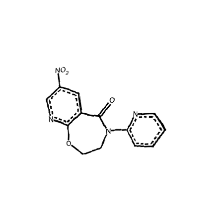 O=C1c2cc([N+](=O)[O-])cnc2OCCN1c1ccccn1